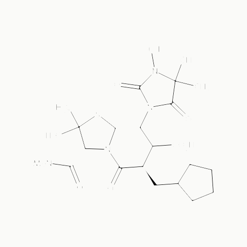 CNC(=O)[C@H]1N(C(=O)[C@H](CC2CCCC2)C(CN2C(=O)N(C)C(C)(C)C2=O)C(=O)O)CSC1(C)C